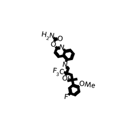 COc1ccc(F)cc1C(C)(C)CC(O)(C=Nc1cccc2nc(OC(N)=O)ccc12)C(F)(F)F